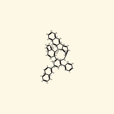 c1ccc(-c2nc(-c3ccc4ccccc4c3)nc3c2Cc2ccc4c5cc6ccccc6cc5n(c4c2)-c2c-3ccc3ccccc23)cc1